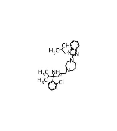 CC(C)Cn1c(N2CCCN(CCCC(N)(c3ccccc3Cl)C(C)C)CC2)nc2ccccc21